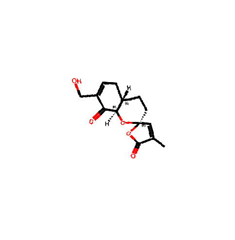 CC1=C[C@@]2(CC[C@H]3CC=C(CO)C(=O)[C@@H]3O2)OC1=O